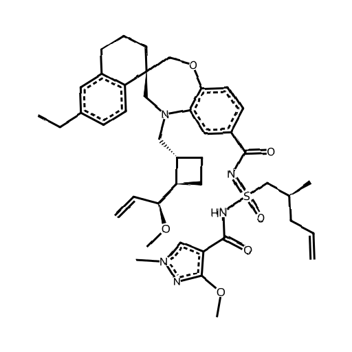 C=CC[C@H](C)CS(=O)(=NC(=O)c1ccc2c(c1)N(C[C@@H]1CC[C@H]1[C@H](C=C)OC)C[C@@]1(CCCc3cc(CC)ccc31)CO2)NC(=O)c1cn(C)nc1OC